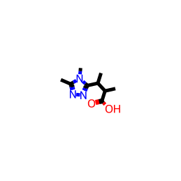 Cc1nnc(C(C)C(C)C(=O)O)n1C